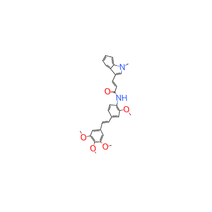 COc1cc(C=Cc2cc(OC)c(OC)c(OC)c2)ccc1NC(=O)/C=C/c1cn(C)c2ccccc12